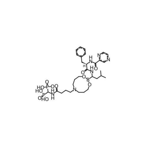 CC(C)CC(NC(=O)[C@@H](Cc1ccccc1)NC(=O)c1cnccn1)B1OCCCN(CCCC(=O)NC(P(=O)(O)O)P(=O)(O)O)CCCO1